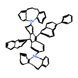 C1=CC2=C(CC1)CCc1ccccc1N2c1ccc2c(-c3ccc4cc(-c5ccccc5)ccc4c3)c3cc(N4c5ccccc5CCc5ccccc54)ccc3c(-c3ccc4ccccc4c3)c2c1